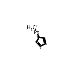 [CH3][Pt][CH]1C=CC=C1